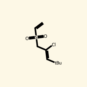 C=CS(=O)(=O)CC(Cl)=CC(C)(C)C